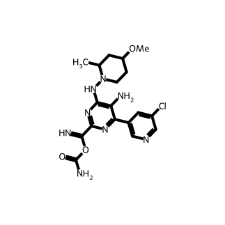 COC1CCN(Nc2nc(C(=N)OC(N)=O)nc(-c3cncc(Cl)c3)c2N)C(C)C1